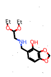 CCOC(CNCc1ccc2c(c1O)OCO2)OCC